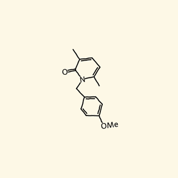 COc1ccc(Cn2c(C)ccc(C)c2=O)cc1